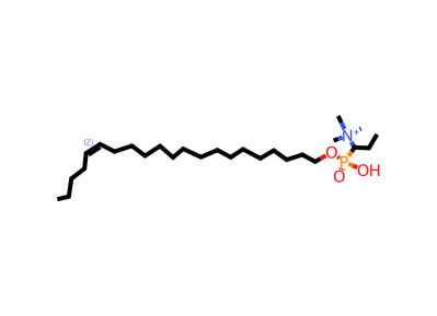 CCCC/C=C\CCCCCCCCCCCCCCCOP(=O)(O)C(CC)[N+](C)(C)C